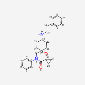 O=C1N(c2ccccc2)CC2(CCC(NCCc3ccccc3)CC2)OC12CC2